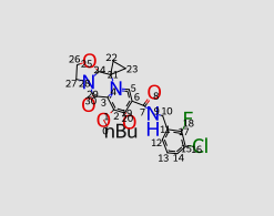 CCCCOc1c2n(cc(C(=O)NCc3cccc(Cl)c3F)c1=O)C1(CC1)C1OCCN1C2=O